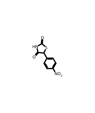 O=C1NC(=O)C(c2ccc([N+](=O)[O-])cc2)S1